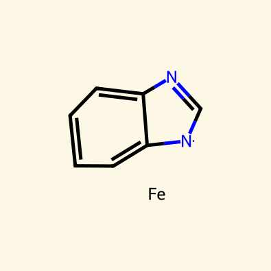 C1=Nc2ccccc2[N]1.[Fe]